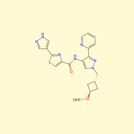 O=CO[C@H]1C[C@H](Cn2cc(NC(=O)c3csc(-c4cn[nH]c4)n3)c(-c3ccccn3)n2)C1